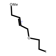 COC/C=C/COCCI